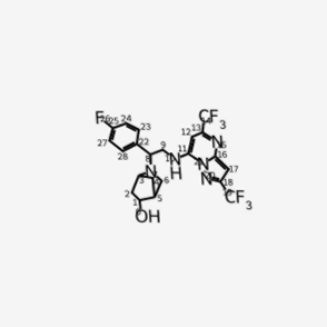 OC1CC2CC1CN2C(CNc1cc(C(F)(F)F)nc2cc(C(F)(F)F)nn12)c1ccc(F)cc1